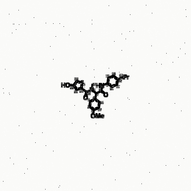 COc1ccc(C(C(=O)Nc2ccc(C(C)C)cc2)N(C)C(=O)c2cc(O)cs2)cc1